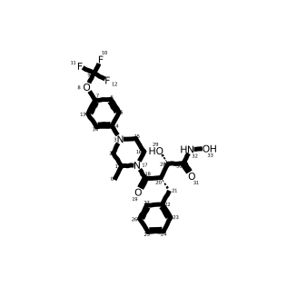 CC1CN(c2ccc(OC(F)(F)F)cc2)CCN1C(=O)[C@@H](Cc1ccccc1)[C@H](O)C(=O)NO